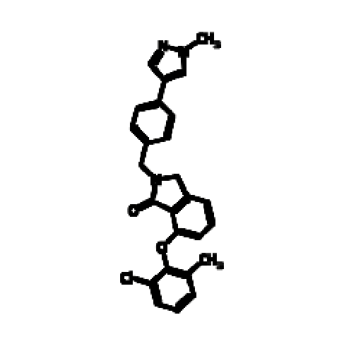 Cc1cccc(Cl)c1Oc1cccc2c1C(=O)N(Cc1ccc(-c3cnn(C)c3)cc1)C2